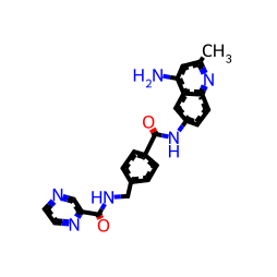 Cc1cc(N)c2cc(NC(=O)c3ccc(CNC(=O)c4cnccn4)cc3)ccc2n1